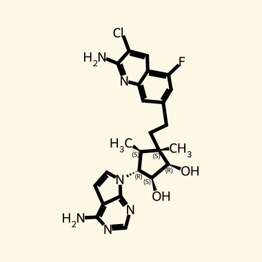 C[C@@H]1[C@@H](n2ccc3c(N)ncnc32)[C@H](O)[C@H](O)[C@@]1(C)CCc1cc(F)c2cc(Cl)c(N)nc2c1